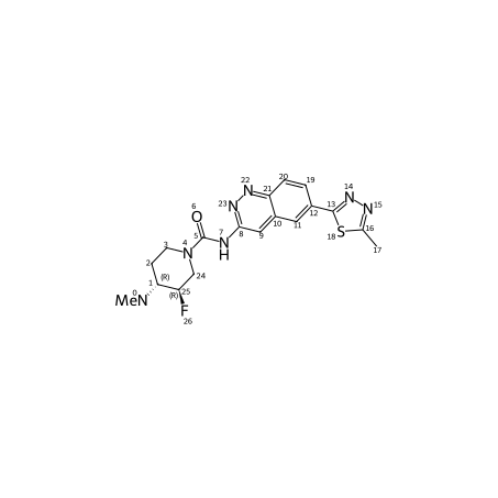 CN[C@@H]1CCN(C(=O)Nc2cc3cc(-c4nnc(C)s4)ccc3nn2)C[C@H]1F